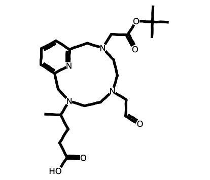 CC(CCC(=O)O)N1CCN(CC=O)CCN(CC(=O)OC(C)(C)C)Cc2cccc(n2)C1